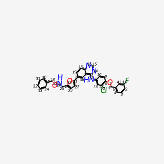 Fc1cccc(COc2ccc(Nc3ncnc4ccc(-c5ccc(CNOCc6ccccc6)o5)cc34)cc2Cl)c1